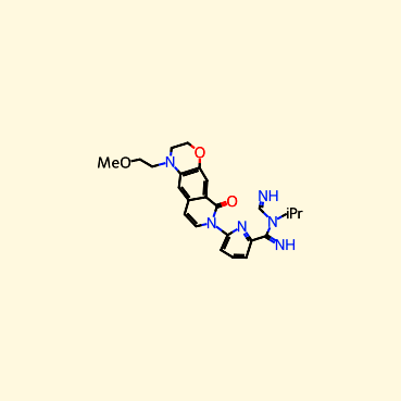 COCCN1CCOc2cc3c(=O)n(-c4cccc(C(=N)N(C=N)C(C)C)n4)ccc3cc21